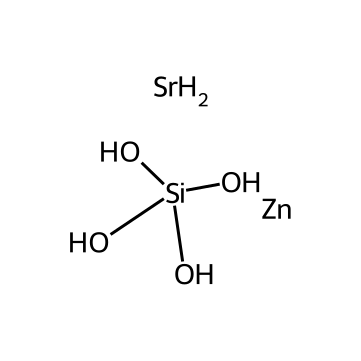 O[Si](O)(O)O.[SrH2].[Zn]